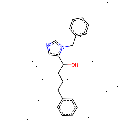 OC(CCCc1ccccc1)c1cncn1Cc1ccccc1